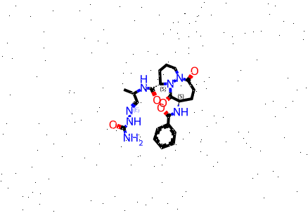 CC(/C=N/NC(N)=O)NC(=O)[C@@H]1CCCN2C(=O)CC[C@H](NC(=O)c3ccccc3)C(=O)N12